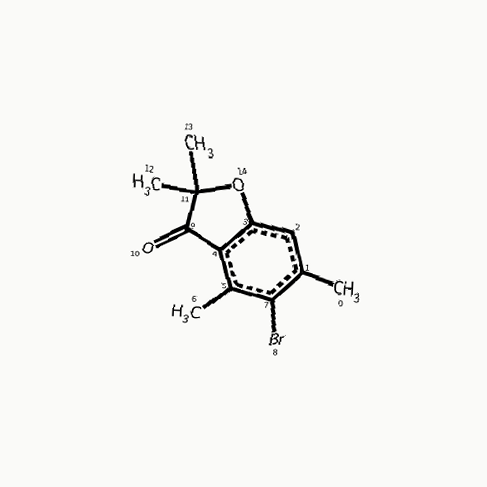 Cc1cc2c(c(C)c1Br)C(=O)C(C)(C)O2